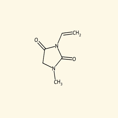 C=CN1C(=O)CN(C)C1=O